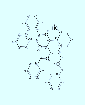 OC1CCCN2C(COCc3ccccc3)C(OCc3ccccc3)C(OCc3ccccc3)C(OCc3ccccc3)C12